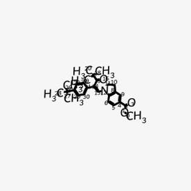 COC(=O)c1ccc2c(c1)CCN2C=C(C(=O)C(C)(C)C)c1ccc(C(C)(C)C)cc1